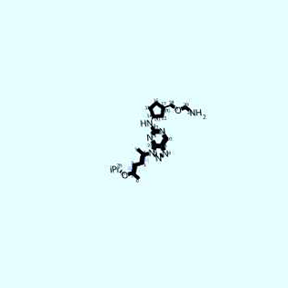 C/C(=C\C=C(/C)n1nnc2cnc(N[C@@H]3CC[C@@H](COCN)C3)nc21)OC(C)C